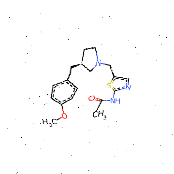 COc1ccc(C[C@H]2CCN(Cc3cnc(NC(C)=O)s3)C2)cc1